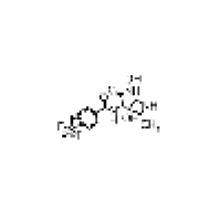 C[C@H]1NC[C@]1(O)[C@@H](NC(=O)c1ccc(S(F)(F)(F)(F)F)cc1)C(=O)NO